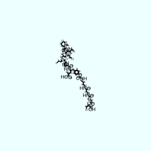 CCCO[C@H](C[C@H](C(C)C)N(CCC)C(=O)[C@@H](NC(=O)[C@H]1CCCCN1C)[C@@H](C)CC)c1nc(C(=O)N[C@@H](Cc2ccc(OC(=O)NCCCCNC(=O)CCNC(=O)OCC(OC)OC(CC)CO)cc2)C[C@H](C)C(=O)O)co1